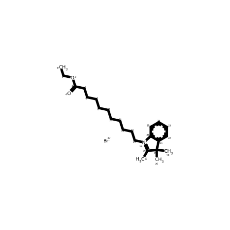 CCOC(=O)CCCCCCCCCC[N+]1=C(C)C(C)(C)c2ccccc21.[Br-]